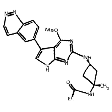 CCC(=O)N[C@]1(C)C[C@@H](Nc2nc(OC)c3c(-c4ccc5nnccc5c4)c[nH]c3n2)C1